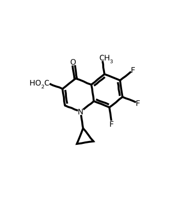 Cc1c(F)c(F)c(F)c2c1c(=O)c(C(=O)O)cn2C1CC1